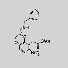 COC(=O)Cc1c([N+](=O)[O-])ccc2c1O[C@@H](CNCc1ccccc1)CO2